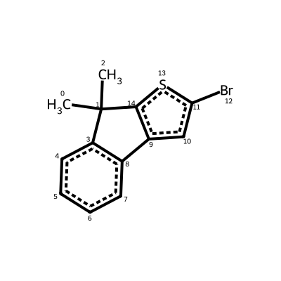 CC1(C)c2ccccc2-c2cc(Br)sc21